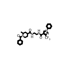 CC1CC(C(=O)NCCNC(=O)c2cn(-c3ccccc3)nc2C(F)(F)F)CCN1C(=O)c1ccccc1